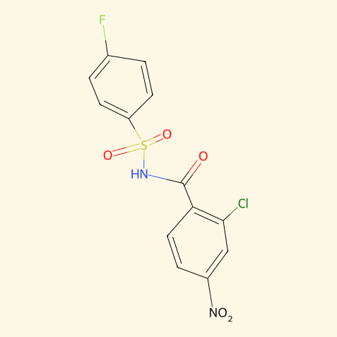 O=C(NS(=O)(=O)c1ccc(F)cc1)c1ccc([N+](=O)[O-])cc1Cl